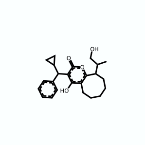 CC(CO)C1CCCCCc2c1oc(=O)c(C(c1ccccc1)C1CC1)c2O